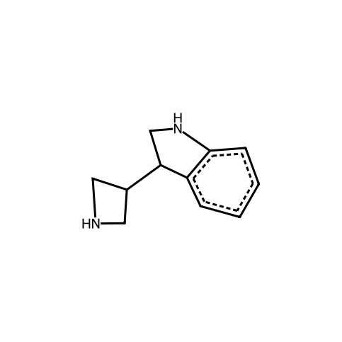 c1ccc2c(c1)NCC2C1CNC1